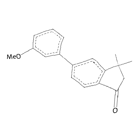 COc1cccc(-c2ccc3c(c2)C(C)(C)CC3=O)c1